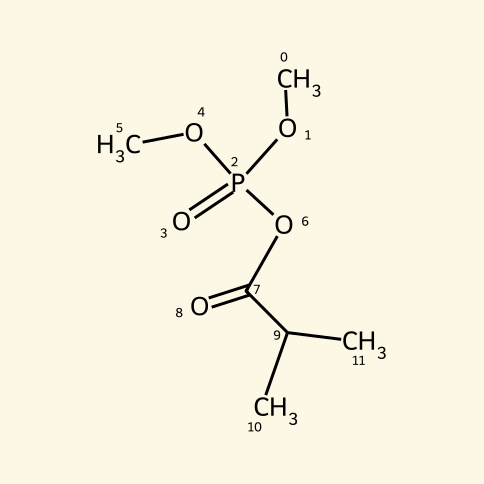 COP(=O)(OC)OC(=O)C(C)C